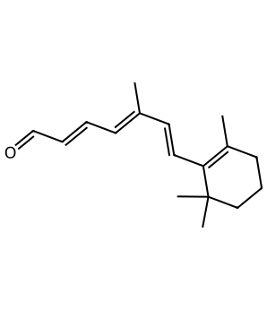 CC(C=CC1=C(C)CCCC1(C)C)=CC=CC=O